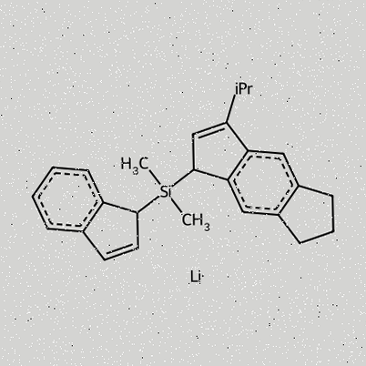 CC(C)C1=CC([Si](C)(C)C2C=Cc3ccccc32)c2cc3c(cc21)CCC3.[Li]